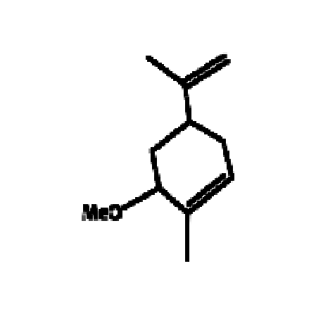 C=C(C)C1CC=C(C)C(OC)C1